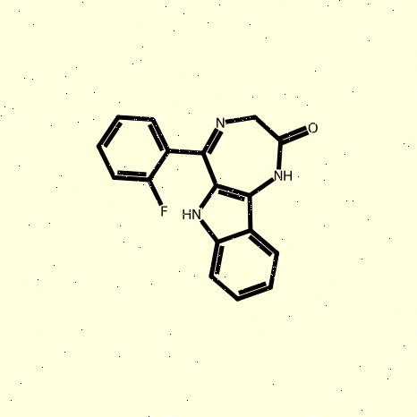 O=C1CN=C(c2ccccc2F)c2[nH]c3ccccc3c2N1